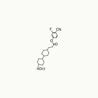 CCCCCCCCC1CCC(C2CCC(CCC(=O)Oc3ccc(C#N)c(F)c3)CC2)CC1